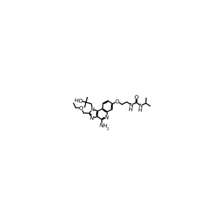 CCOCc1nc2c(N)nc3cc(OCCNC(=O)NC(C)C)ccc3c2n1CC(C)(C)O